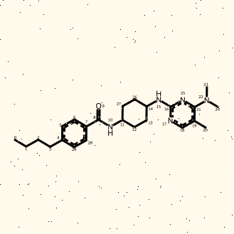 CCCCc1ccc(C(=O)NC2CCC(Nc3ncc(C)c(N(C)C)n3)CC2)cc1